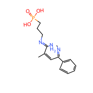 C\N=C(/C=C(C)\C(N)=N\CCCP(=O)(O)O)c1ccccc1